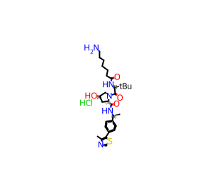 Cc1ncsc1-c1ccc([C@H](C)NC(=O)[C@@H]2C[C@@H](O)CN2C(=O)[C@@H](NC(=O)CCCCCCN)C(C)(C)C)cc1.Cl